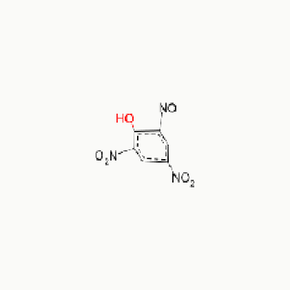 O=Nc1cc([N+](=O)[O-])cc([N+](=O)[O-])c1O